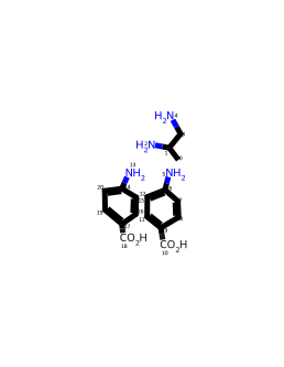 CC(N)CN.Nc1ccc(C(=O)O)cc1.Nc1ccc(C(=O)O)cc1